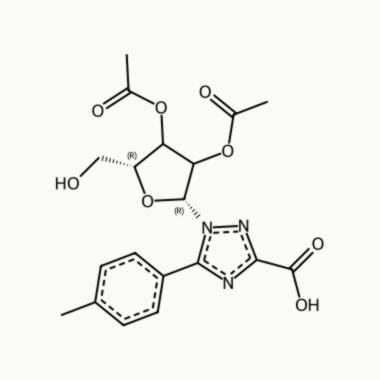 CC(=O)OC1C(OC(C)=O)[C@@H](CO)O[C@H]1n1nc(C(=O)O)nc1-c1ccc(C)cc1